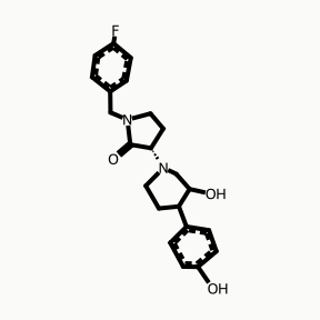 O=C1[C@@H](N2CCC(c3ccc(O)cc3)C(O)C2)CCN1Cc1ccc(F)cc1